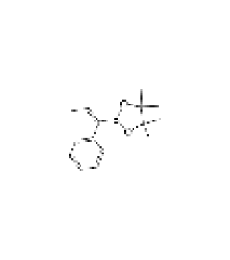 C/C=C(/B1OC(C)(C)C(C)(C)O1)c1ccccc1